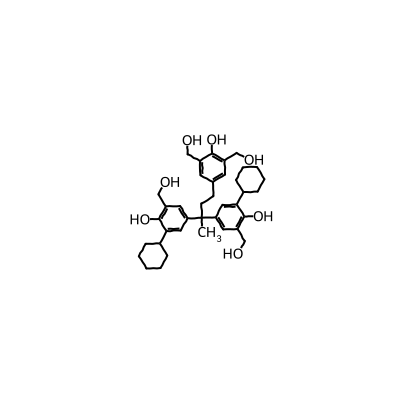 CC(CCc1cc(CO)c(O)c(CO)c1)(c1cc(CO)c(O)c(C2CCCCC2)c1)c1cc(CO)c(O)c(C2CCCCC2)c1